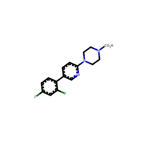 O=C(O)N1CCN(c2ccc(-c3ccc(F)cc3F)cn2)CC1